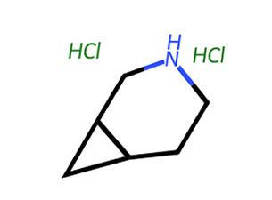 C1CC2CC2CN1.Cl.Cl